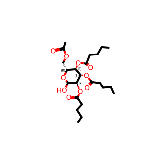 CCCCC(=O)O[C@H]1[C@H](OC(=O)CCCC)[C@@H](OC(=O)CCCC)C(O)O[C@@H]1COC(C)=O